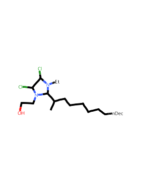 CCCCCCCCCCCCCCCCC(C)C1N(CC)C(Cl)C(Cl)N1CCO